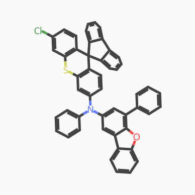 Clc1ccc2c(c1)Sc1cc(N(c3ccccc3)c3cc(-c4ccccc4)c4oc5ccccc5c4c3)ccc1C21c2ccccc2-c2ccccc21